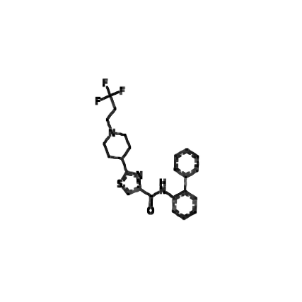 O=C(Nc1ccccc1-c1ccccc1)c1csc(C2CCN(CCC(F)(F)F)CC2)n1